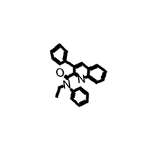 CCN(C(=O)c1nc2ccccc2cc1-c1ccccc1)c1ccccc1